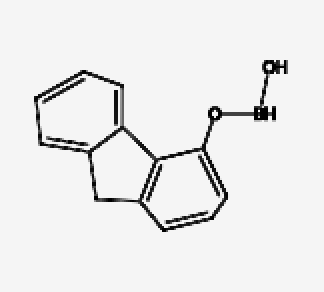 OBOc1cccc2c1-c1ccccc1C2